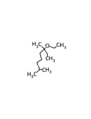 CCOC(C)(CC)CCCC(C)C